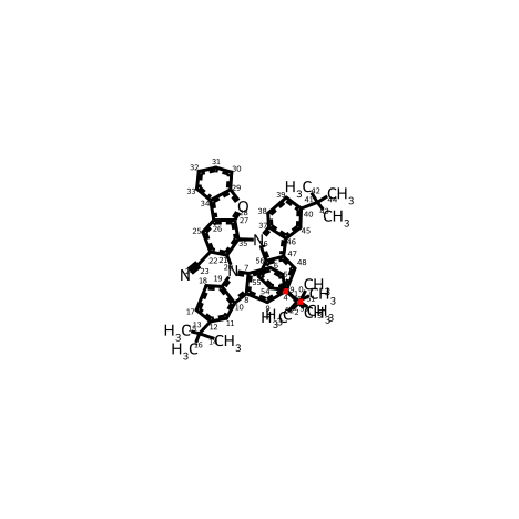 CC(C)(C)c1ccc2c(c1)c1cc(C(C)(C)C)ccc1n2-c1c(C#N)cc2c(oc3ccccc32)c1-n1c2ccc(C(C)(C)C)cc2c2cc(C(C)(C)C)ccc21